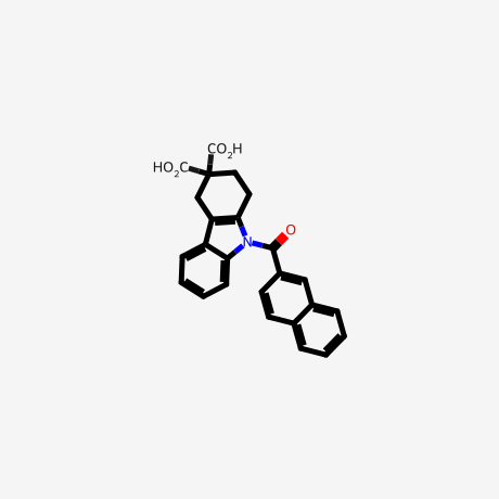 O=C(c1ccc2ccccc2c1)n1c2c(c3ccccc31)CC(C(=O)O)(C(=O)O)CC2